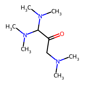 CN(C)CC(=O)C(N(C)C)N(C)C